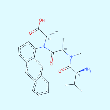 CC(C)[C@H](N)C(=O)N(C)[C@@H](C)C(=O)N(c1cccc2cc3ccccc3cc12)[C@@H](C)C(=O)O